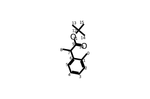 Cc1ccccc1C(C)C(=O)OC(C)(C)C